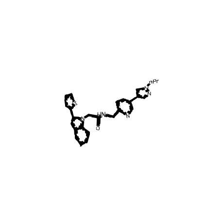 CCCn1cc(-c2ccc(CNC(=O)Cn3c(-c4cccs4)cc4ccccc43)nc2)cn1